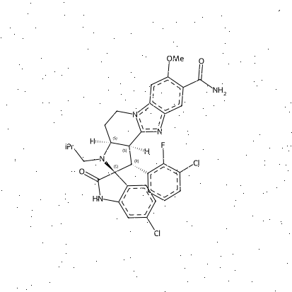 COc1cc2c(cc1C(N)=O)nc1n2CC[C@H]2[C@@H]1[C@H](c1cccc(Cl)c1F)[C@]1(C(=O)Nc3cc(Cl)ccc31)N2CC(C)C